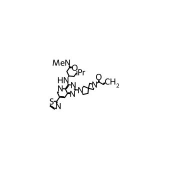 C=CC(=O)N1CC2(CCN(c3nc(NC(CC(=O)NC)CC(C)C)c4ncc(-c5nccs5)cc4n3)C2)C1